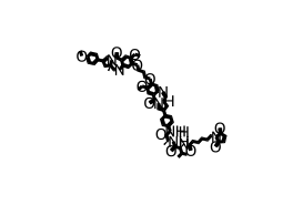 COc1ccc(C2=CN3C(=O)c4cc(OC)c(OCCCOc5cc6c(cc5OC)C(=O)N5C=C(c7ccc(NC(=O)[C@H](C)NC(=O)[C@@H](NC(=O)CCCCCN8C(=O)C=CC8=O)C(C)C)cc7)C[C@H]5C=N6)cc4N=C[C@]3(C)C2)cc1